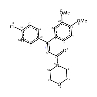 COc1ccc(/C(=C\C(=O)N2CCOCC2)c2ccc(Cl)nc2)cc1OC